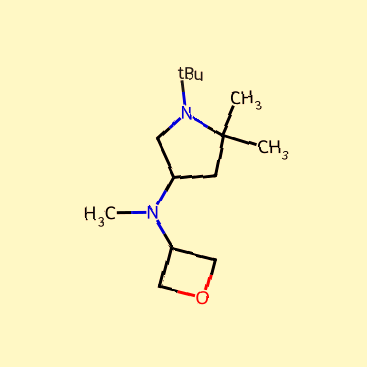 CN(C1COC1)C1CN(C(C)(C)C)C(C)(C)C1